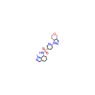 Cn1ncc2cccc(NS(=O)(=O)c3ccc(-n4ncc5c4CCOC5)nc3)c21